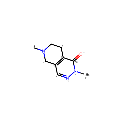 CN1CCc2c(cnn(C(C)(C)C)c2=O)C1